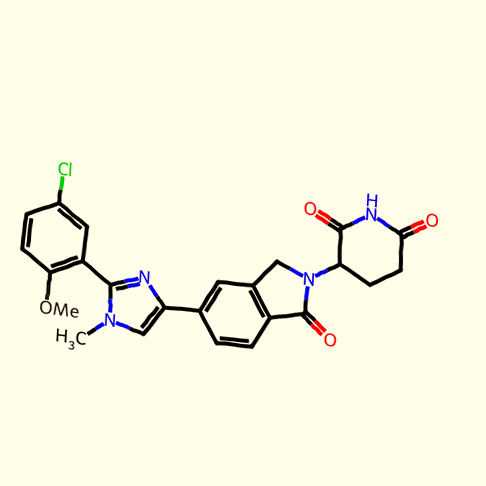 COc1ccc(Cl)cc1-c1nc(-c2ccc3c(c2)CN(C2CCC(=O)NC2=O)C3=O)cn1C